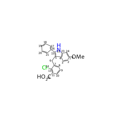 COc1ccc2c(Cc3cccc(C(=O)O)c3Cl)c(-c3ccccc3)[nH]c2c1